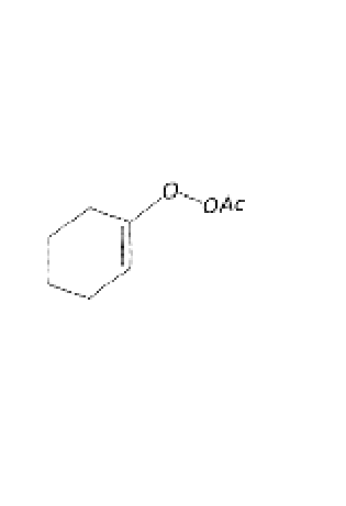 CC(=O)OOC1=CCCCC1